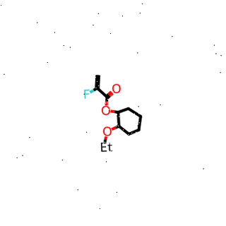 C=C(F)C(=O)OC1CCCCC1OCC